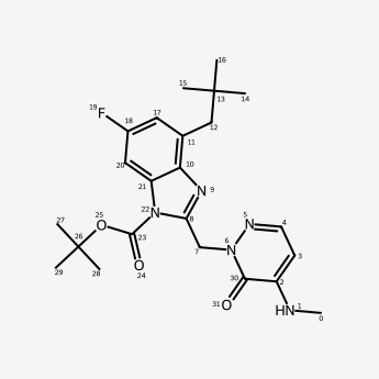 CNc1ccnn(Cc2nc3c(CC(C)(C)C)cc(F)cc3n2C(=O)OC(C)(C)C)c1=O